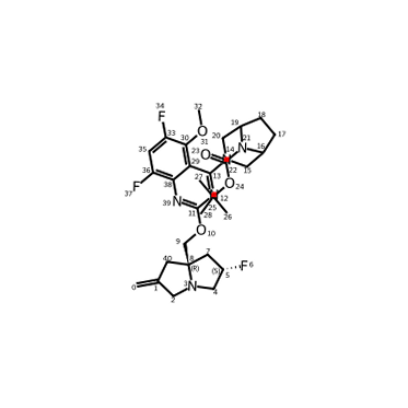 C=C1CN2C[C@@H](F)C[C@@]2(COc2nc(N3CC4CCC(C3)N4C(=O)OC(C)(C)C)c3c(OC)c(F)cc(F)c3n2)C1